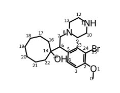 COc1ccc(C(CN2CCNCC2)C2(O)CCCCCCC2)cc1Br